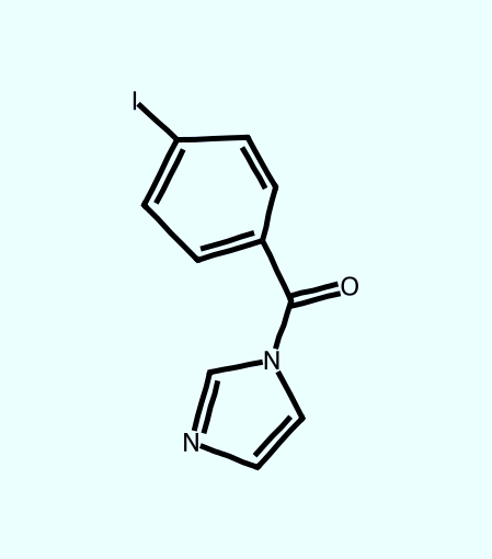 O=C(c1ccc(I)cc1)n1ccnc1